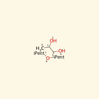 CC(O)CO.CCCC(C)OC(C)CCC